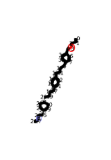 C=CCOCc1ccc(CCCCc2ccc(CCCC[C@H]3CC[C@H](C/C=C/C)CC3)cc2)cc1